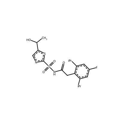 CC(C)c1cc(F)cc(C(C)C)c1CC(=O)NS(=O)(=O)c1ncc(C(C)O)s1